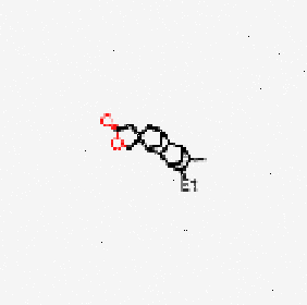 CCC1C(C)C2CC1C1C2C2CC1C1(COC(=O)C1)C2